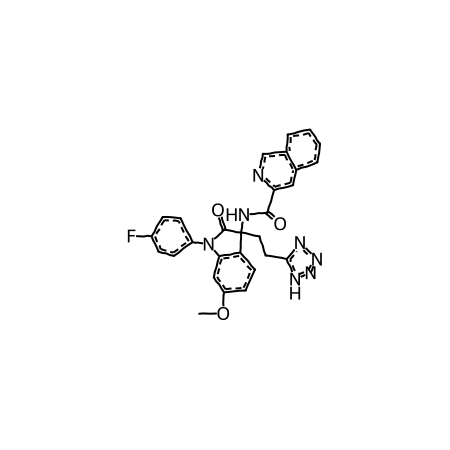 COc1ccc2c(c1)N(c1ccc(F)cc1)C(=O)C2(CCc1nnn[nH]1)NC(=O)c1cc2ccccc2cn1